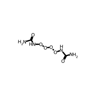 NC(=O)NOOOONC(N)=O